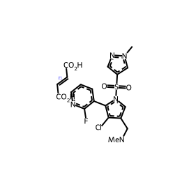 CNCc1cn(S(=O)(=O)c2cnn(C)c2)c(-c2cccnc2F)c1Cl.O=C(O)/C=C/C(=O)O